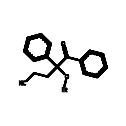 CCOC(CCC#N)(C(=O)c1ccccc1)c1ccccc1